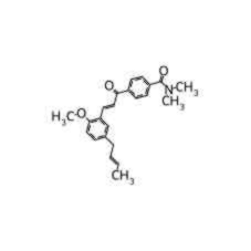 CC=CCc1ccc(OC)c(C=CC(=O)c2ccc(C(=O)N(C)C)cc2)c1